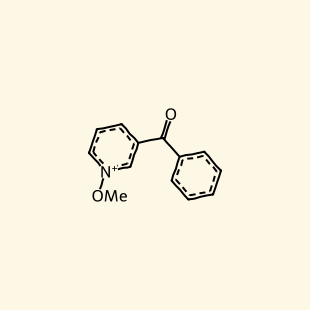 CO[n+]1cccc(C(=O)c2ccccc2)c1